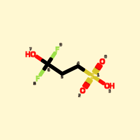 O=S(=O)(O)CCC(O)(F)F